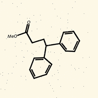 COC(=O)CCC(c1ccccc1)c1ccccc1